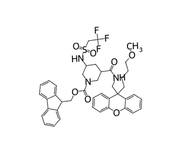 COCCCCC1(CNC(=O)C2CC(NS(=O)(=O)CC(F)(F)F)CN(C(=O)OCC3c4ccccc4-c4ccccc43)C2)c2ccccc2Oc2ccccc21